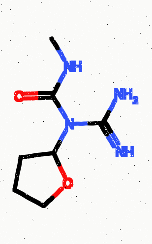 CNC(=O)N(C(=N)N)C1CCCO1